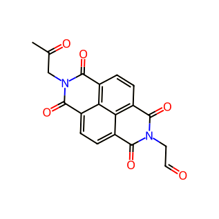 CC(=O)CN1C(=O)c2ccc3c4c(ccc(c24)C1=O)C(=O)N(CC=O)C3=O